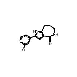 O=C1NCCCc2[nH]c(-c3ccnc(Cl)c3)cc21